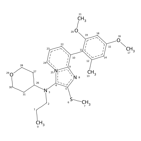 CCCN(c1c(SC)nc2c(-c3c(C)cc(OC)cc3OC)cccn12)C1CCOCC1